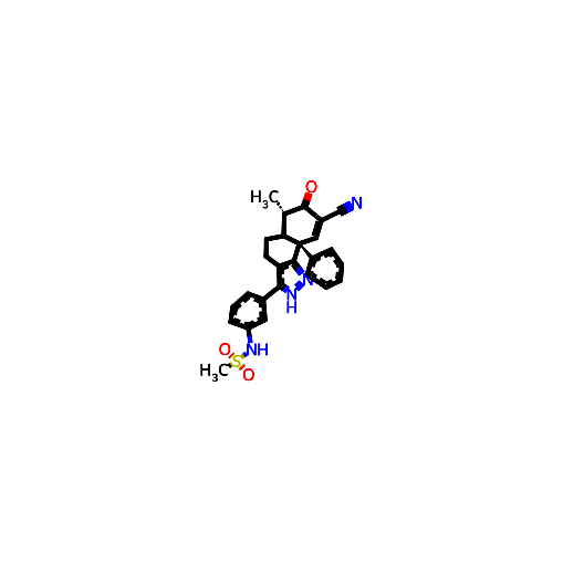 C[C@@H]1C(=O)C(C#N)=C[C@]2(c3ccccc3)c3n[nH]c(-c4cccc(NS(C)(=O)=O)c4)c3CCC12